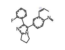 C=Nc1ccc(-c2c(-c3ccccc3F)nc3n2CCC3)cc1/C=C\C